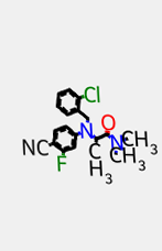 CC(C(=O)N(C)C)N(Cc1ccccc1Cl)c1ccc(C#N)c(F)c1